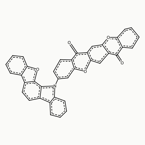 O=c1c2ccccc2oc2cc3c(=O)c4ccc(-n5c6ccccc6c6ccc7c8ccccc8oc7c65)cc4oc3cc12